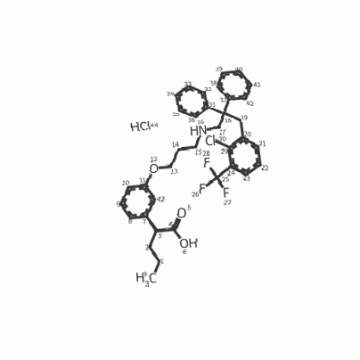 CCCC(C(=O)O)c1cccc(OCCCNCC(Cc2cccc(C(F)(F)F)c2Cl)(c2ccccc2)c2ccccc2)c1.Cl